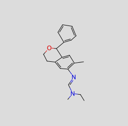 CCN(C)C=Nc1cc2c(cc1C)C(c1ccccc1)OCC2